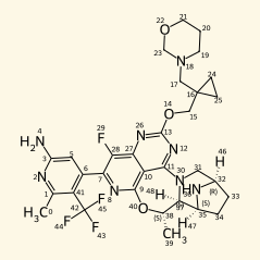 Cc1nc(N)cc(-c2nc3c4c(nc(OCC5(CN6CCCOC6)CC5)nc4c2F)N2C[C@H]4CC[C@H](N4)[C@H]2[C@H](C)O3)c1C(F)(F)F